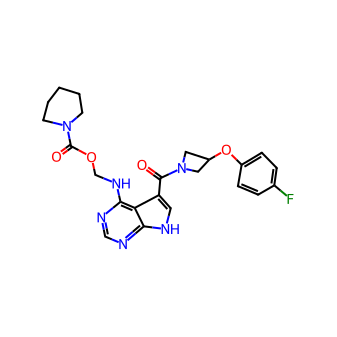 O=C(OCNc1ncnc2[nH]cc(C(=O)N3CC(Oc4ccc(F)cc4)C3)c12)N1CCCCC1